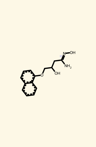 N/C(CC(O)COc1cccc2ccccc12)=N\O